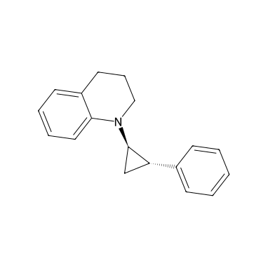 c1ccc([C@@H]2C[C@H]2N2CCCc3ccccc32)cc1